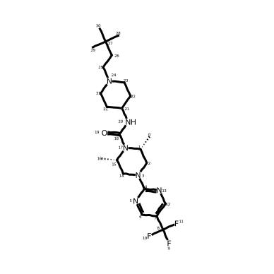 C[C@@H]1CN(c2ncc(C(F)(F)F)cn2)C[C@H](C)N1C(=O)NC1CCN(CCC(C)(C)C)CC1